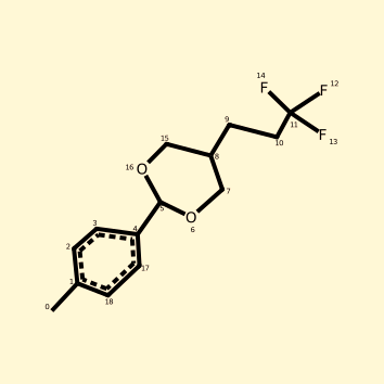 Cc1ccc(C2OCC(CCC(F)(F)F)CO2)cc1